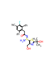 CC(C)c1cc(C#N)c(F)c(C(C)C)c1CC(=O)/N=S(\N)c1sc(C(C)(C)O)nc1CO